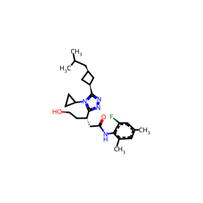 Cc1cc(C)c(NC(=O)C[C@H](CCO)c2nnc([C@H]3C[C@@H](CC(C)C)C3)n2C2CC2)c(F)c1